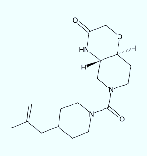 C=C(C)CC1CCN(C(=O)N2CC[C@@H]3OCC(=O)N[C@H]3C2)CC1